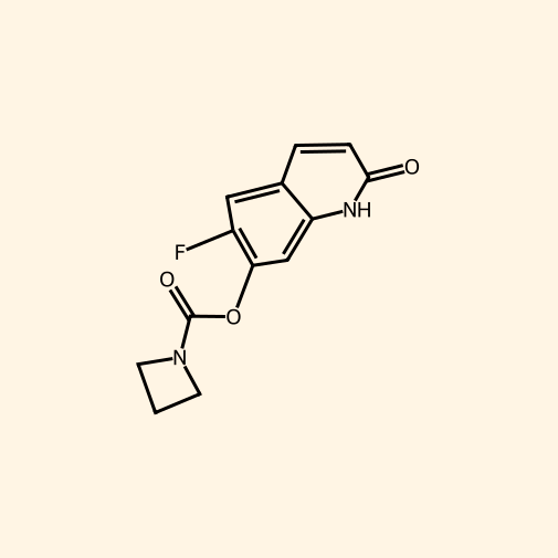 O=C(Oc1cc2[nH]c(=O)ccc2cc1F)N1CCC1